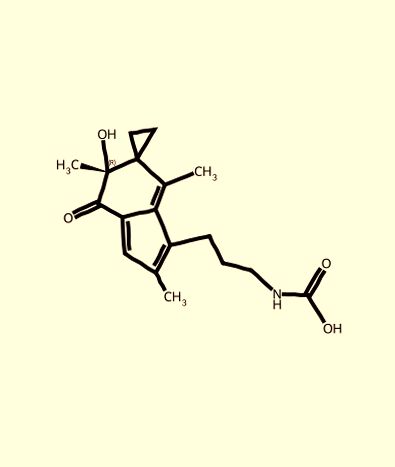 CC1=C(CCCNC(=O)O)C2=C(C)C3(CC3)[C@@](C)(O)C(=O)C2=C1